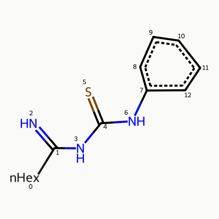 CCCCCCC(=N)NC(=S)Nc1ccccc1